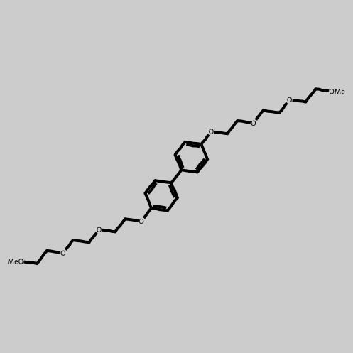 COCCOCCOCCOc1ccc(-c2ccc(OCCOCCOCCOC)cc2)cc1